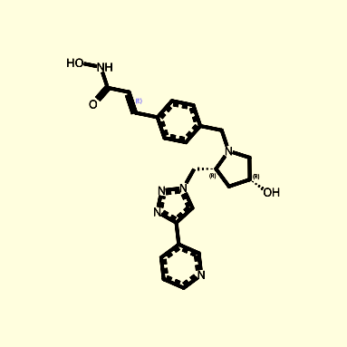 O=C(/C=C/c1ccc(CN2C[C@H](O)C[C@@H]2Cn2cc(-c3cccnc3)nn2)cc1)NO